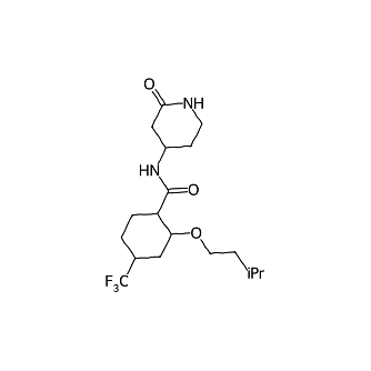 CC(C)CCOC1CC(C(F)(F)F)CCC1C(=O)NC1CCNC(=O)C1